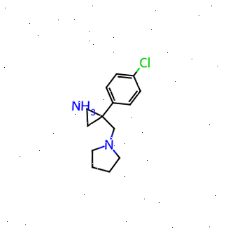 Clc1ccc(C2(CN3CCCC3)CC2)cc1.N